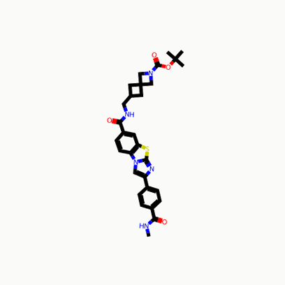 CNC(=O)c1ccc(-c2cn3c(n2)sc2cc(C(=O)NCC4CC5(C4)CN(C(=O)OC(C)(C)C)C5)ccc23)cc1